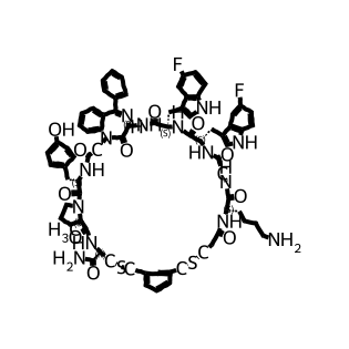 C[C@@]12CCCN1C(=O)[C@H](Cc1ccc(O)cc1)NC(=O)CN1C(=O)[C@@H](N=C(c3ccccc3)c3ccccc31)NC(=O)[C@H](Cc1c[nH]c3ccc(F)cc13)NC(=O)[C@H](Cc1c[nH]c3ccc(F)cc13)NC(=O)CNC(=O)[C@H](CCCCN)NC(=O)CCSCc1cccc(c1)CSC[C@@H](C(N)=O)NC2=O